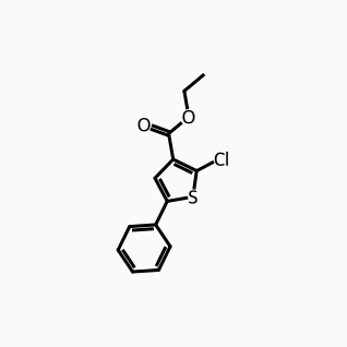 CCOC(=O)c1cc(-c2ccccc2)sc1Cl